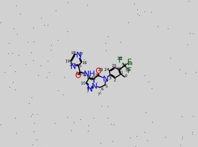 Cc1cc(N2C[C@H](C)n3ncc(NC(=O)c4cnccn4)c3C2=O)ccc1C(F)(F)F